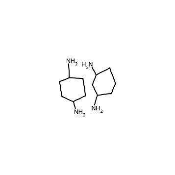 NC1CCC(N)CC1.NC1CCCC(N)C1